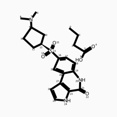 CCCC(=O)O.CN(C)C1CC[C@H](S(=O)(=O)c2ccc3[nH]c(=O)c4[nH]ccc4c3c2)C1